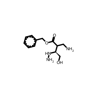 NCC(C(=O)OCc1ccccc1)[C@@H](CO)NN